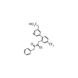 CCN(Cc1cc(C(F)(F)F)ccc1-c1cncc(CC(=O)O)c1)C(=O)Cc1ccccc1